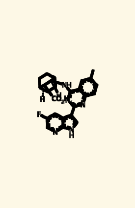 Cc1ccc2nc(-c3c[nH]c4ncc(F)cc34)nc(N[C@H]3C4CCC(CC4)[C@@H]3C(=O)O)c2c1